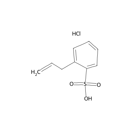 C=CCc1ccccc1S(=O)(=O)O.Cl